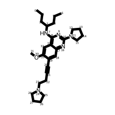 CCCC(CCC)Nc1nc(N2CCCC2)nc2cc(C#CCCN3CCCC3)c(OC)cc12